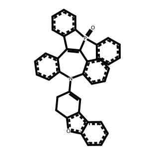 O=P1(c2ccccc2)C2=C(c3ccccc3N(C3=Cc4c(oc5ccccc45)CC3)c3ccccc32)c2ccccc21